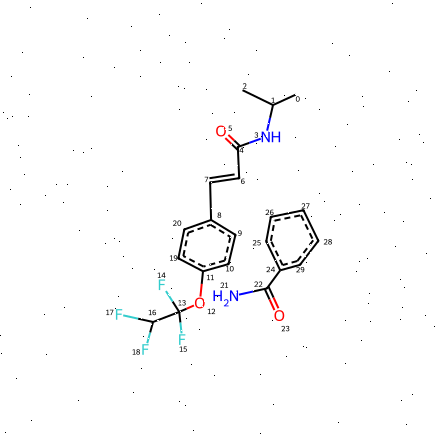 CC(C)NC(=O)C=Cc1ccc(OC(F)(F)C(F)F)cc1.NC(=O)c1ccccc1